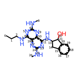 CCCNc1nc(NC)nc2c(NC3Cc4ccccc4C3O)nc(NC)nc12